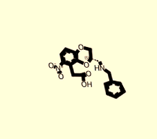 O=C(O)Cc1c([N+](=O)[O-])ccc2c1O[C@@H](CNCc1ccccc1)CO2